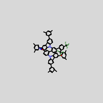 Cc1cc(C)cc(-c2ccc3c(c2)c2cc(-c4cc(C)cc(C)c4)ccc2n3-c2ccc(C#N)cc2-c2ccc(-c3ccc(C(F)(F)F)cc3C(F)(F)F)cc2-n2c3ccc(-c4cc(C)cc(C)c4)cc3c3cc(-c4cc(C)cc(C)c4)ccc32)c1